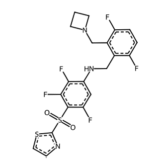 O=S(=O)(c1n[c]cs1)c1c(F)cc(NCc2c(F)ccc(F)c2CN2CCC2)c(F)c1F